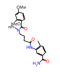 CCCN(CCCC(=O)Nc1cc(C(N)=O)ccc1C)C(=O)c1ccc(OC)cc1OC